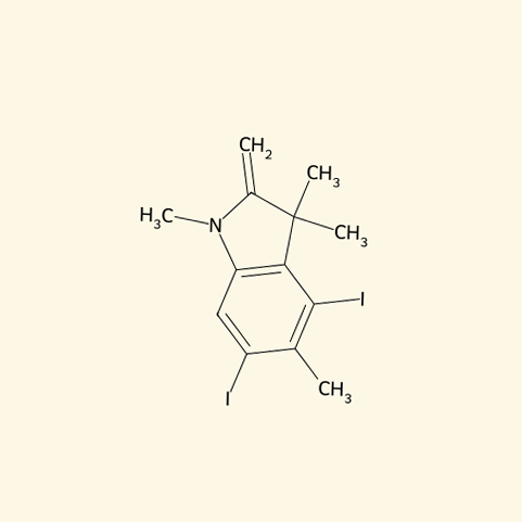 C=C1N(C)c2cc(I)c(C)c(I)c2C1(C)C